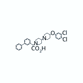 O=C(O)C(c1cccc(-c2ccccc2)c1)N1CCC(N2CCC(Oc3ccc(Cl)c(Cl)c3)CC2)CC1